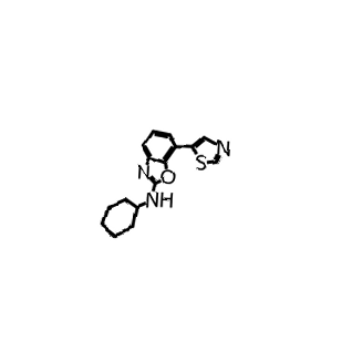 c1cc(-c2cncs2)c2oc(NC3CCCCC3)nc2c1